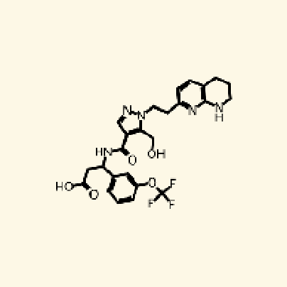 O=C(O)CC(NC(=O)c1cnn(CCc2ccc3c(n2)NCCC3)c1CO)c1cccc(OC(F)(F)F)c1